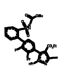 CCCn1nc(C)c(C(=O)OCC)c1-c1ccc(-c2ccccc2S(=O)(=O)NC(=O)OCC(C)C)c(F)c1C(C)C